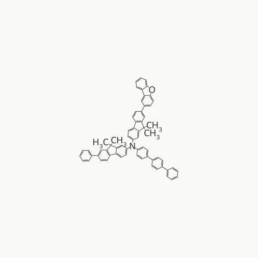 CC1(C)c2cc(-c3ccccc3)ccc2-c2ccc(N(c3ccc(-c4ccc(-c5ccccc5)cc4)cc3)c3ccc4c(c3)C(C)(C)c3cc(-c5ccc6oc7ccccc7c6c5)ccc3-4)cc21